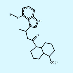 CC(C)Oc1cccc2[nH]cc(C(C)CC(=O)N3CCCC4C(C(=O)O)CCCC43)c12